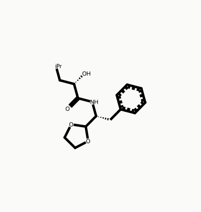 CC(C)C[C@H](O)C(=O)N[C@H](Cc1ccccc1)C1OCCO1